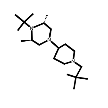 C[C@@H]1CN(C2CCN(CC(C)(C)C)CC2)C[C@@H](C)N1C(C)(C)C